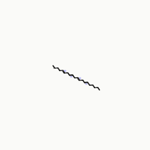 C[CH]CC/C=C/C/C=C/C/C=C/C/C=C/CCCCC